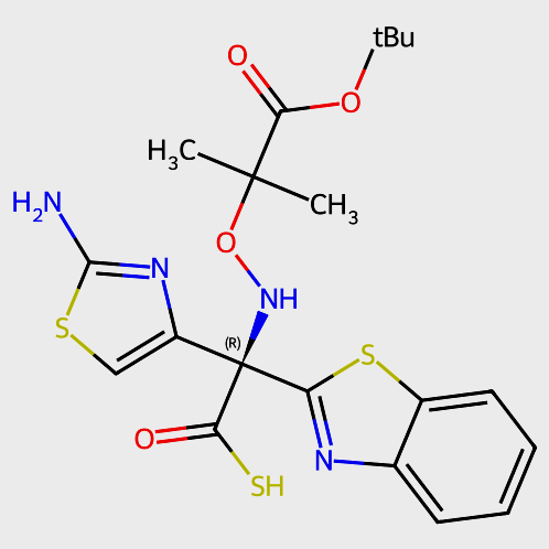 CC(C)(C)OC(=O)C(C)(C)ON[C@@](C(=O)S)(c1csc(N)n1)c1nc2ccccc2s1